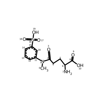 CN(C(=O)CCC(N)C(=O)O)c1cccc(S(=O)(=O)O)c1